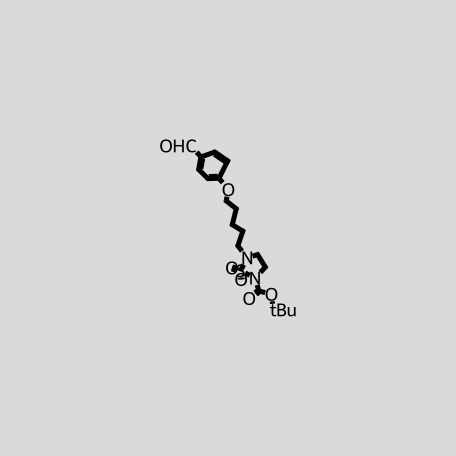 CC(C)(C)OC(=O)N1CCN(CCCCCOc2ccc(C=O)cc2)S1(=O)=O